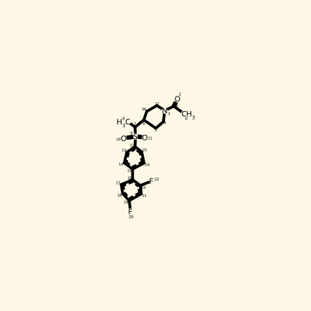 CC(=O)N1CCC(C(C)S(=O)(=O)c2ccc(-c3ccc(F)cc3F)cc2)CC1